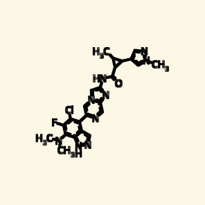 CC1C(C(=O)Nc2cn3cc(-c4c(Cl)c(F)c(N(C)C)c5[nH]ncc45)ncc3n2)C1c1cnn(C)c1